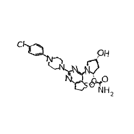 NC(=O)O[C@H]1C[C@@H](O)CN1c1nc(N2CCN(c3ccc(Cl)cc3)CC2)nc2c1[S+]([O-])CC2